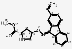 C=Cc1ccc2c(c1)C(=NO[C@H]1CN[C@H](C(=O)OC)C1)c1ccccc1-2